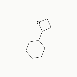 C1CCC(C2CCO2)CC1